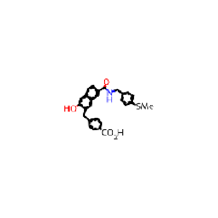 CSc1ccc(CNC(=O)c2ccc3cc(O)c(Cc4ccc(C(=O)O)cc4)cc3c2)cc1